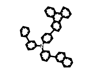 c1ccc(-c2cccc(N(c3ccc(-c4ccc5c6ccccc6c6ccccc6c5c4)cc3)c3cccc(-c4ccc5ccccc5c4)c3)c2)cc1